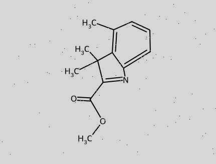 COC(=O)C1=Nc2cccc(C)c2C1(C)C